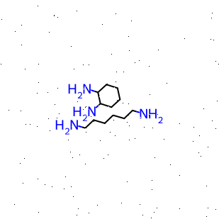 NC1CCCCC1N.NCCCCCCN